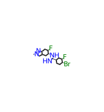 Cn1cc2cc(NC(=N)c3ccc(Br)c(F)c3)c(F)cc2n1